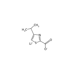 CC(C)c1csc(C(=O)[O-])n1.[Li+]